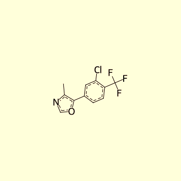 Cc1ncoc1-c1ccc(C(F)(F)F)c(Cl)c1